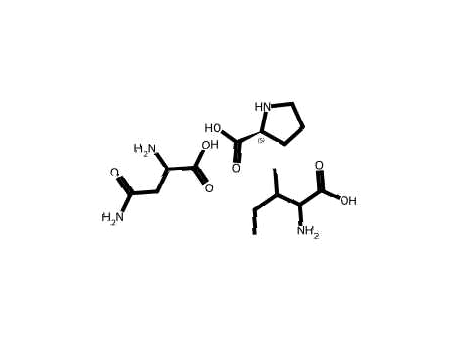 CCC(C)C(N)C(=O)O.NC(=O)CC(N)C(=O)O.O=C(O)[C@@H]1CCCN1